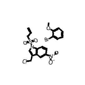 C=CCS(=O)(=O)n1cc(CCl)c2cc([N+](=O)[O-])ccc21.COc1ccccc1Br